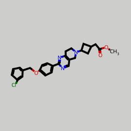 COC(=O)CC1CC(N2CCc3nc(-c4ccc(OCc5cccc(Cl)c5)cc4)ncc3C2)C1